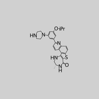 CC(C)Oc1cc(-c2ccc3c(ccc4sc5c(c43)NC[C@@H](C)NC5=O)n2)cc(N2CCNCC2)c1